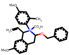 C=CC1c2cc(OC)ccc2CC(OCc2ccccc2)[N+]1(C(=O)O)c1ccc(OC)cc1C